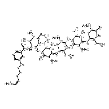 CCCCCC/C=C\CCCOc1cccc(C(=O)N[C@@H]2C(O[C@H]3C(O)C(NC(C)=O)[C@H](OC4C(CO)O[C@@H](O[C@H]5C(O)C(NC(C)=O)[C@H](OC6C(CO)OC(O)[C@@H](NC(C)=O)[C@H]6O)O[C@H]5CO)[C@@H](NC(C)=O)[C@H]4O)O[C@H]3CO)OC(CO)[C@@H](O)[C@@H]2O)c1